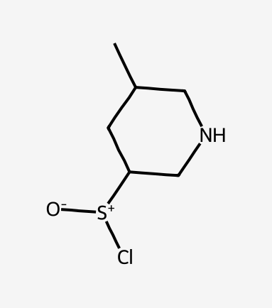 CC1CNCC([S+]([O-])Cl)C1